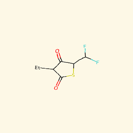 CCC1C(=O)SC(C(F)F)C1=O